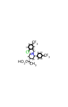 CC(C(=O)O)[C@@H]1CCN(Cc2cc(C(F)(F)F)ccc2Cl)[C@H](c2ccc(C(F)(F)F)cc2)C1